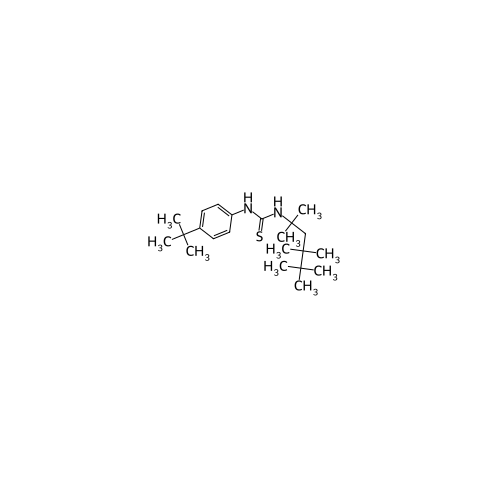 CC(C)(CC(C)(C)C(C)(C)C)NC(=S)Nc1ccc(C(C)(C)C)cc1